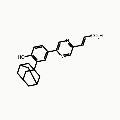 O=C(O)/C=C/c1cnc(-c2ccc(O)c(C34CC5CC(CC(C5)C3)C4)c2)cn1